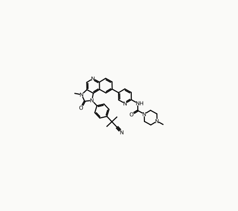 CN1CCN(C(=O)Nc2ccc(-c3ccc4ncc5c(c4c3)n(-c3ccc(C(C)(C)C#N)cc3)c(=O)n5C)cn2)CC1